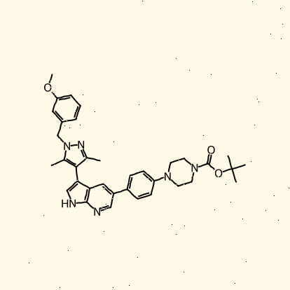 COc1cccc(Cn2nc(C)c(-c3c[nH]c4ncc(-c5ccc(N6CCN(C(=O)OC(C)(C)C)CC6)cc5)cc34)c2C)c1